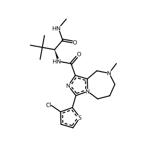 CNC(=O)[C@@H](NC(=O)c1nc(-c2sccc2Cl)n2c1CN(C)CCC2)C(C)(C)C